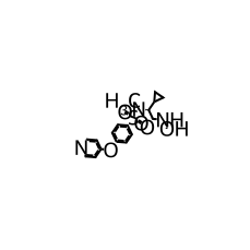 CN([C@@H](C(=O)NO)C1CC1)S(=O)(=O)c1ccc(Oc2ccncc2)cc1